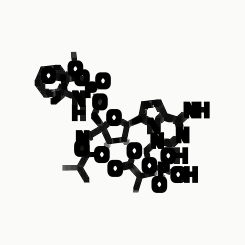 COC(=O)[C@H](C)NP(=O)(OC[C@@]1(C#N)O[C@@H](c2ccc3c(=N)ncn(COP(=O)(O)O)n23)[C@H](OC(=O)C(C)C)[C@@H]1OC(=O)C(C)C)Oc1ccccc1